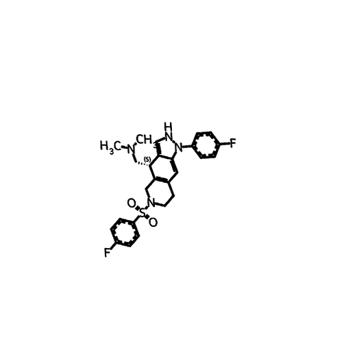 CN(C)C[C@@H]1C2=CNN(c3ccc(F)cc3)C2=CC2=C1CN(S(=O)(=O)c1ccc(F)cc1)CC2